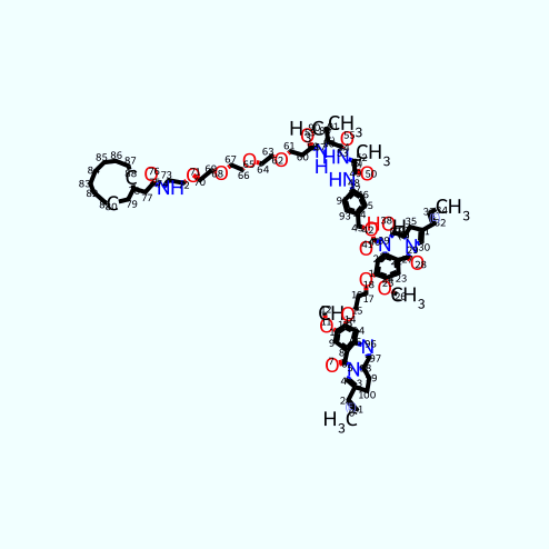 C/C=C/C1=CN2C(=O)c3cc(OC)c(OCCCOc4cc5c(cc4OC)C(=O)N4C=C(/C=C/C)C[C@H]4[C@H](O)N5C(=O)OCc4ccc(NC(=O)[C@H](C)NC(=O)[C@@H](NC(=O)CCOCCOCCOCCOCCNC(=O)CC5CCCCCCCCCC5)C(C)C)cc4)cc3N=CC2CC1